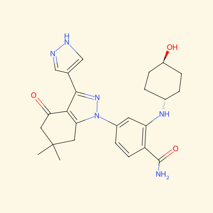 CC1(C)CC(=O)c2c(-c3cn[nH]c3)nn(-c3ccc(C(N)=O)c(N[C@H]4CC[C@H](O)CC4)c3)c2C1